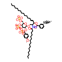 CCCCCCCCCCCCCC=CC(OC(=O)c1ccccc1)C(CO[C@H]1O[C@H](COS(=O)(=O)[O-])[C@H](OS(=O)(=O)[O-])[C@H](OS(=O)(=O)[O-])[C@H]1OCc1ccc(OC)cc1)NC(=O)CCCCCCCCCCCCCCC.[Na+].[Na+].[Na+]